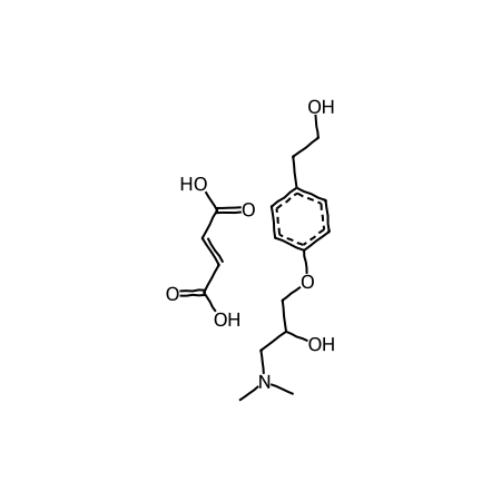 CN(C)CC(O)COc1ccc(CCO)cc1.O=C(O)C=CC(=O)O